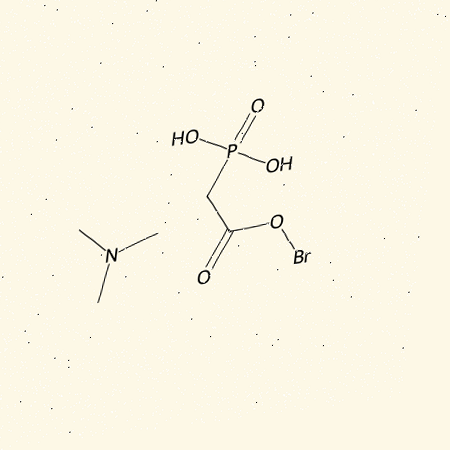 CN(C)C.O=C(CP(=O)(O)O)OBr